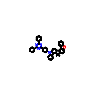 CC1(C)c2ccc3oc4ccccc4c3c2-c2ccc3c(c21)c1ccccc1n3-c1ccc(-c2nc(-c3ccccc3)nc(-c3ccccc3)n2)cc1